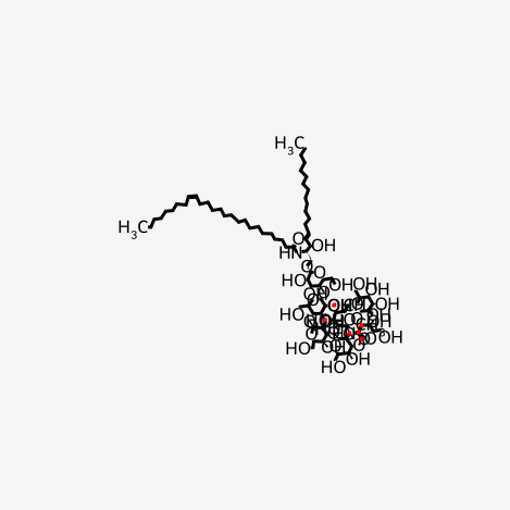 CCCCCCCC/C=C\CCCCCCCCCCCCCCCC(=O)N[C@@H](CO[C@@H]1OC(CO)[C@@H](O[C@@H]2OC(CO)[C@H](O[C@@H]3OC(CO)[C@H](O)[C@H](O[C@@H]4OC(CO)[C@H](O)[C@H](O[C@@H]5OC(CO)[C@H](O)[C@H](O[C@H]6OC(CO)[C@H](O)[C@H](O)C6O)C5O[C@H]5OC(C)[C@@H](O)C(O)[C@@H]5O)C4NC(C)=O)C3O)[C@H](O)C2O)[C@H](O)C1O)[C@H](O)/C=C/CCCCCCCCCCCCC